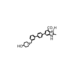 Cc1nc2c(C(=O)O)cc(-c3ccc(-c4cccc(CN5CCC(O)CC5)c4)cc3)cc2[nH]1